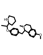 COc1ccc2c(c1)CCN(C)C2Cc1ccc(OC(C)C2CCCCN2)cc1